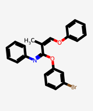 CC(=COc1ccccc1)C(=Nc1ccccc1)Oc1cccc(Br)c1